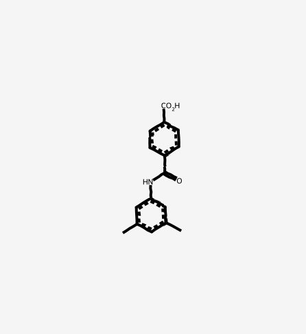 Cc1cc(C)cc(NC(=O)c2ccc(C(=O)O)cc2)c1